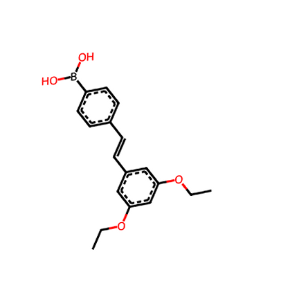 CCOc1cc(/C=C/c2ccc(B(O)O)cc2)cc(OCC)c1